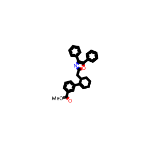 COC(=O)c1cccc(C2=CCCCC2Cc2nc(-c3ccccc3)c(-c3ccccc3)o2)c1